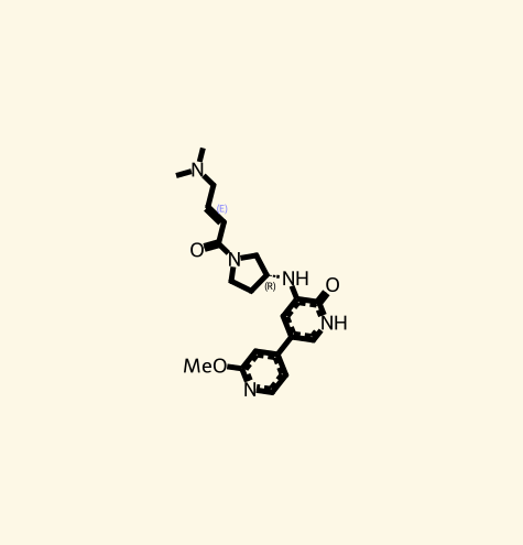 COc1cc(-c2c[nH]c(=O)c(N[C@@H]3CCN(C(=O)/C=C/CN(C)C)C3)c2)ccn1